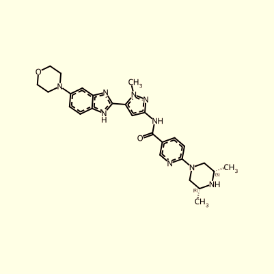 C[C@@H]1CN(c2ccc(C(=O)Nc3cc(-c4nc5cc(N6CCOCC6)ccc5[nH]4)n(C)n3)cn2)C[C@H](C)N1